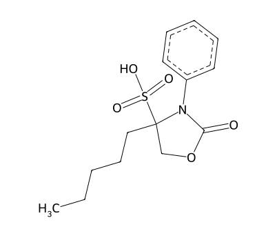 CCCCCC1(S(=O)(=O)O)COC(=O)N1c1ccccc1